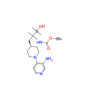 CC(C)(C)OC(=O)N[C@@H]1CN(c2ccncc2N)CC[C@H]1CC(C)(C)[Si](C)(C)O